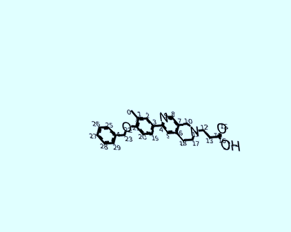 Cc1cc(-c2cc3c(cn2)CN(CCC(=O)O)CC3)ccc1OCc1ccccc1